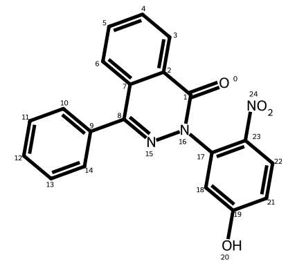 O=c1c2ccccc2c(-c2ccccc2)nn1-c1cc(O)ccc1[N+](=O)[O-]